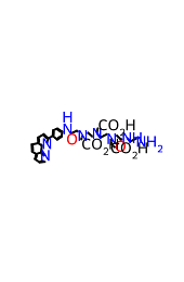 NCCNC(=O)CN(CCN(CCN(CC(=O)O)CC(=O)Nc1ccc(-c2ccc3ccc4cccnc4c3n2)cc1)CC(=O)O)CC(=O)O